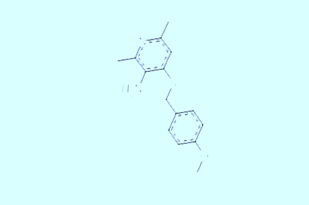 COc1ccc(CSc2cc(C)nc(C)c2N)cc1